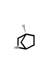 C1C[C@@H]2CNC1C2